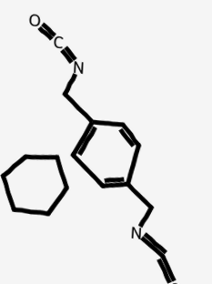 C1CCCCC1.O=C=NCc1ccc(CN=C=O)cc1